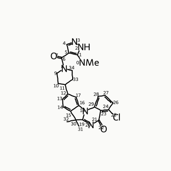 CNc1[nH]ncc1C(=O)N1CCC(c2ccc3c(c2)-n2c(nc(=O)c4c(Cl)cccc42)C3(C)C)CC1